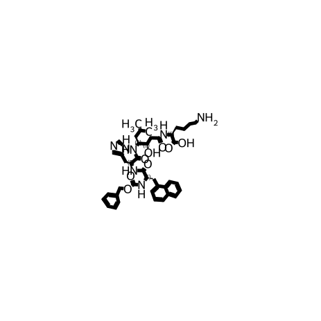 CC(C)C[C@H](NC(=O)[C@H](Cc1cnc[nH]1)NC(=O)[C@H](Cc1cccc2ccccc12)NC(=O)OCc1ccccc1)[C@@H](O)CC(=O)N[C@@H](CCCCN)C(=O)O